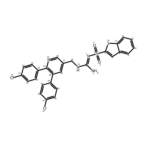 N/C(=N\S(=O)(=O)c1cc2ccccc2s1)NCc1cnc(-c2ccc(Cl)cc2)c(-c2ccc(Cl)cc2)c1